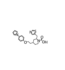 O=C(O)N1CCC(CCOc2ccc(-n3cccc3)cc2)CC1Cc1cncs1